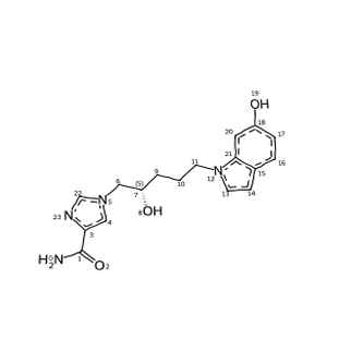 NC(=O)c1cn(C[C@@H](O)CCCn2ccc3ccc(O)cc32)cn1